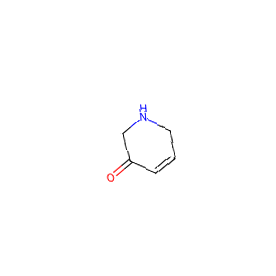 O=C1[CH]NCC=C1